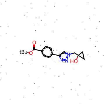 CC(C)(C)OC(=O)c1ccc(-c2cn(CC3(O)CC3)nn2)cc1